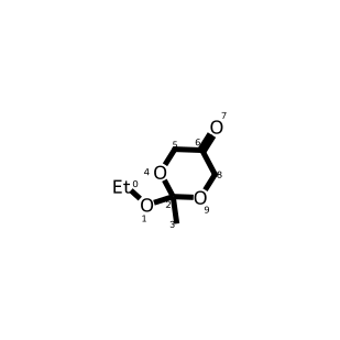 CCOC1(C)OCC(=O)CO1